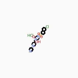 Cl.O=C1CN(S(=O)(=O)c2ccc3cc(Cl)ccc3c2)CCN1CC1(O)CCN(c2ccncc2)CC1